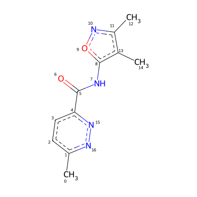 Cc1ccc(C(=O)Nc2onc(C)c2C)nn1